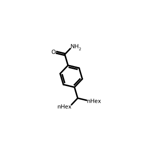 CCCCCCC(CCCCCC)c1ccc(C(N)=O)cc1